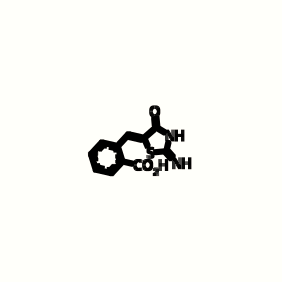 N=C1NC(=O)C(=Cc2ccccc2C(=O)O)S1